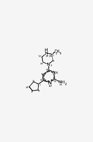 C[C@H]1CN(c2cc(C3CCCC3)nc(N)n2)CCN1